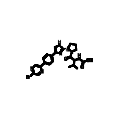 CC(C)C(NC(=O)O)C(=O)N1CCC[C@H]1c1nc(-c2ccc(-c3cnc(Br)cn3)cc2)c[nH]1